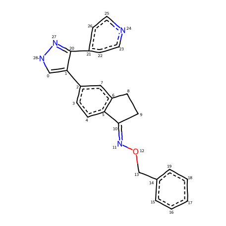 C1=C(c2ccc3c(c2)CCC3=NOCc2ccccc2)C(c2ccncc2)=N[N]1